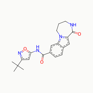 CC(C)(C)c1cc(NC(=O)c2ccc3cc4n(c3c2)CCCNC4=O)on1